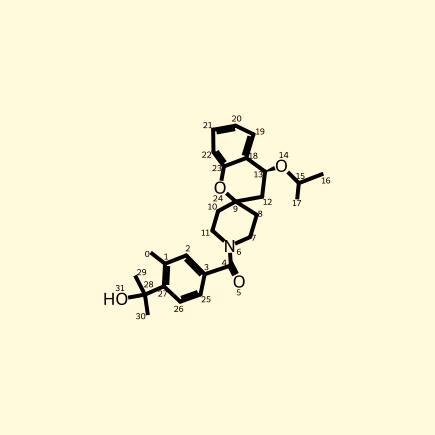 Cc1cc(C(=O)N2CCC3(CC2)C[C@H](OC(C)C)c2ccccc2O3)ccc1C(C)(C)O